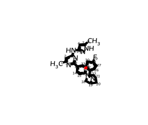 Cc1cc(Nc2cc(C)[nH]n2)nc(-c2ccc(N3CC4CC(C3)N4Cc3ccc(F)cc3)nc2)n1